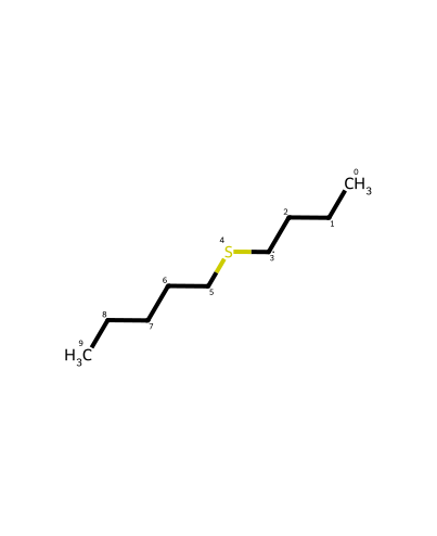 CCC[CH]SCCCCC